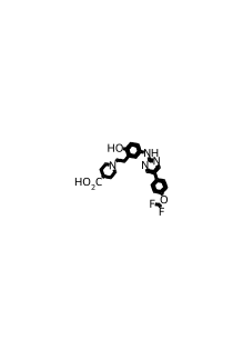 O=C(O)C1CCN(CCc2cc(Nc3ncc(-c4ccc(OC(F)F)cc4)cn3)ccc2O)CC1